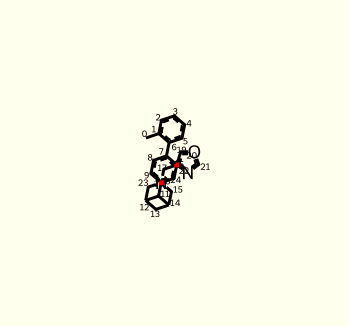 Cc1ccccc1-c1ccc(C2C3CC2CN(Cc2cocn2)C3)cc1